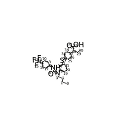 CCCCN(C(=O)Nc1ccc(C(F)(F)F)cc1)c1cccc(Sc2ccc(C(CC)C(=O)O)cc2)c1